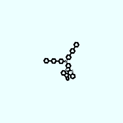 c1ccc(-c2ccc(-c3ccc(N(c4ccc(-c5ccc(-c6ccccc6)cc5)cc4)c4ccc5c6c(sc5c4)C4(c5ccccc5S6)c5ccccc5-c5ccccc54)cc3)cc2)cc1